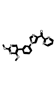 COc1ncc(-c2cccc(-n3cnc(C(=O)c4ncccn4)c3)c2)c(OC)n1